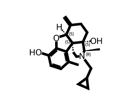 C=C1CC[C@@]2(O)[C@@H](C)N(CC3CC3)CC[C@@]23c2c(C)ccc(O)c2O[C@@H]13